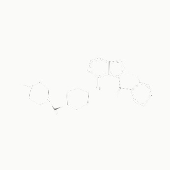 Cc1ccccc1C(=O)c1c[nH]c2ncnc(N[C@H]3CC[C@H](C(=O)N4CCN(C)CC4)CC3)c12